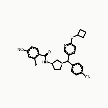 N#Cc1ccc(C(c2ccc(OC3CCC3)nc2)N2CC[C@@H](NC(=O)c3ccc(C#N)cc3F)C2)cc1